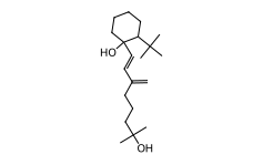 C=C(C=CC1(O)CCCCC1C(C)(C)C)CCCC(C)(C)O